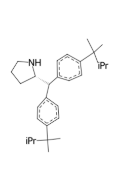 CC(C)C(C)(C)c1ccc(C(c2ccc(C(C)(C)C(C)C)cc2)[C@@H]2CCCN2)cc1